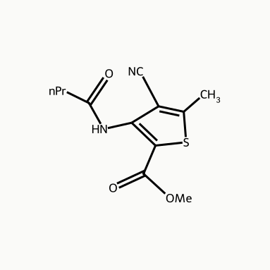 CCCC(=O)Nc1c(C(=O)OC)sc(C)c1C#N